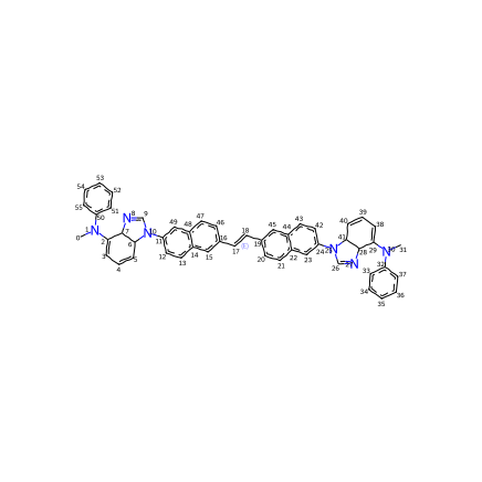 CN(C1=CC=CC2C1N=CN2c1ccc2cc(/C=C/c3ccc4cc(N5C=NC6C(N(C)c7ccccc7)=CC=CC65)ccc4c3)ccc2c1)c1ccccc1